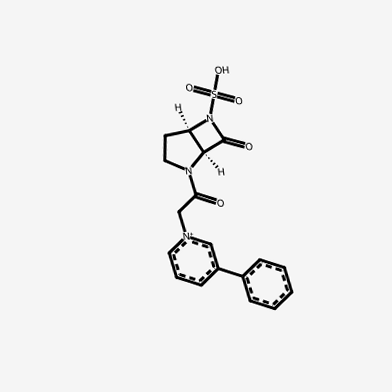 O=C(C[n+]1cccc(-c2ccccc2)c1)N1CC[C@@H]2[C@H]1C(=O)N2S(=O)(=O)O